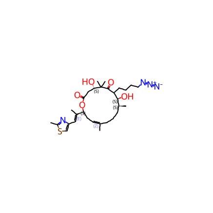 C/C1=C/C[C@@H](/C(C)=C/c2csc(C)n2)OC(=O)C[C@H](O)C(C)(C)C(=O)C(CCCCN=[N+]=[N-])[C@@H](O)[C@@H](C)CCC1